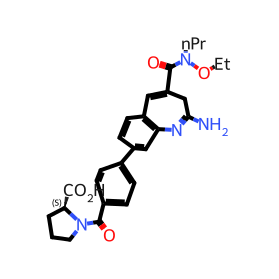 CCCN(OCC)C(=O)C1=Cc2ccc(-c3ccc(C(=O)N4CCC[C@H]4C(=O)O)cc3)cc2N=C(N)C1